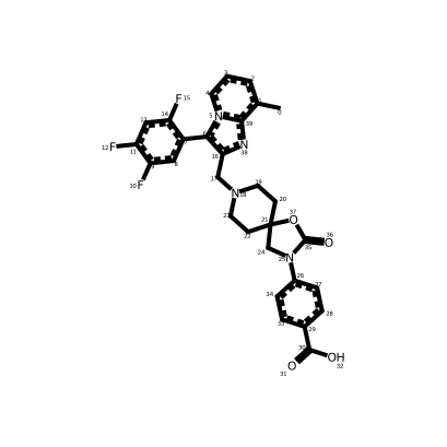 Cc1cccn2c(-c3cc(F)c(F)cc3F)c(CN3CCC4(CC3)CN(c3ccc(C(=O)O)cc3)C(=O)O4)nc12